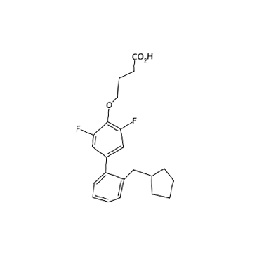 O=C(O)CCCOc1c(F)cc(-c2ccccc2CC2CCCC2)cc1F